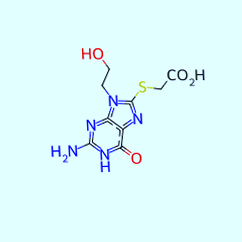 Nc1nc2c(nc(SCC(=O)O)n2CCO)c(=O)[nH]1